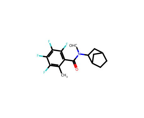 Cc1c(F)c(F)c(F)c(F)c1C(=O)N(C=O)C1CC2CCC1C2